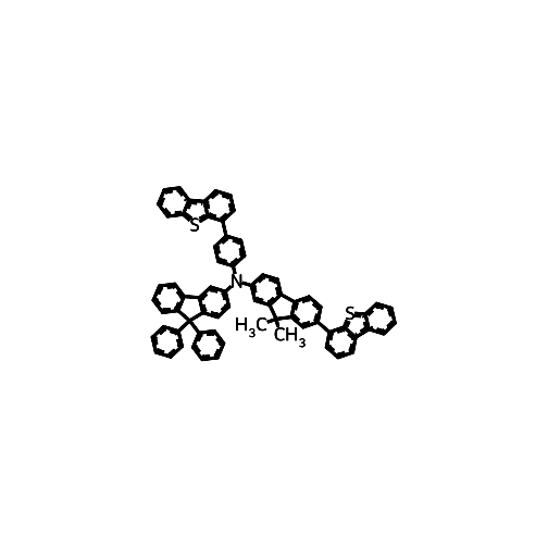 CC1(C)c2cc(-c3cccc4c3sc3ccccc34)ccc2-c2ccc(N(c3ccc(-c4cccc5c4sc4ccccc45)cc3)c3ccc4c(c3)-c3ccccc3C4(c3ccccc3)c3ccccc3)cc21